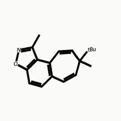 Cc1noc2ccc3c(c12)C=CC(C)(C(C)(C)C)C=C3